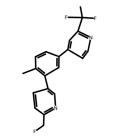 Cc1ccc(-c2ccnc(C(C)(F)F)c2)cc1-c1ccc(CF)nc1